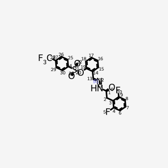 O=C(Cc1c(F)cccc1F)N/N=C/c1ccccc1OS(=O)(=O)c1ccc(C(F)(F)F)cc1